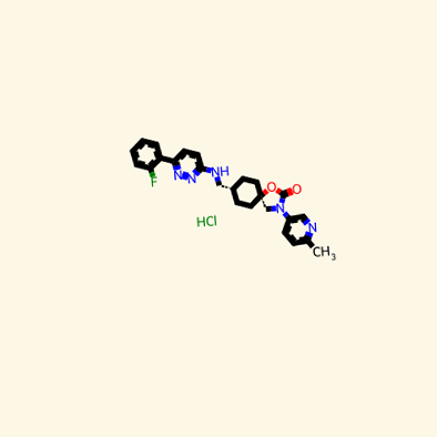 Cc1ccc(N2C[C@]3(CC[C@@H](CNc4ccc(-c5ccccc5F)nn4)CC3)OC2=O)cn1.Cl